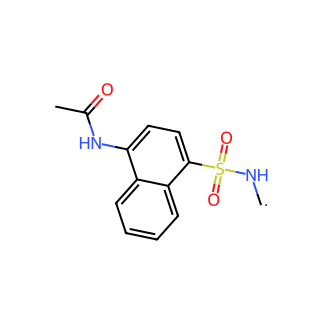 [CH2]NS(=O)(=O)c1ccc(NC(C)=O)c2ccccc12